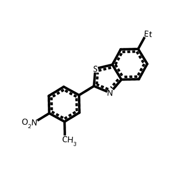 CCc1ccc2nc(-c3ccc([N+](=O)[O-])c(C)c3)sc2c1